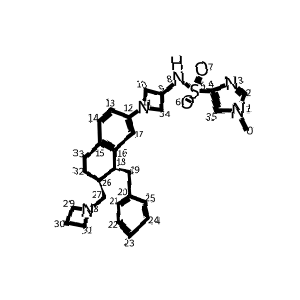 Cn1cnc(S(=O)(=O)NC2CN(c3ccc4c(c3)[C@@H](Cc3ccccc3)[C@@H](CN3CCC3)CC4)C2)c1